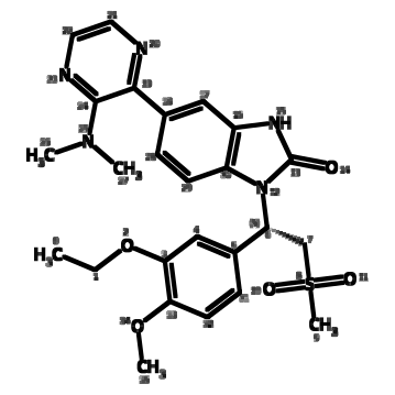 CCOc1cc([C@@H](CS(C)(=O)=O)n2c(=O)[nH]c3cc(-c4nccnc4N(C)C)ccc32)ccc1OC